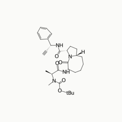 C#C[C@@H](NC(=O)[C@@H]1CC[C@@H]2CCCC[C@H](NC(=O)[C@H](C)N(C)C(=O)OC(C)(C)C)C(=O)N21)c1ccccc1